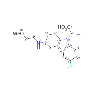 CCC(C(=O)O)n1c2c(c3cc(F)ccc31)CC(NCCOC)CC2